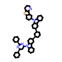 c1ccc(-c2cc(-n3c4ccccc4c4cc(-c5cccc(-c6ccc7c(c6)c6ccccc6n7-c6ccc7sc8cccnc8c7c6)c5)ccc43)nc(-c3ccccc3)n2)cc1